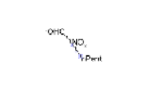 CCCCC/C=C/C/C=C/C/C=C(/CCCCCC[C]=O)[N+](=O)[O-]